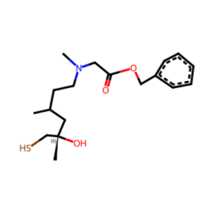 CC(CCN(C)CC(=O)OCc1ccccc1)C[C@](C)(O)CS